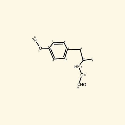 [3H]Oc1ccc(CC(C)POC=O)cc1